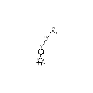 CCN(CC)CCNCCCOc1ccc(B2OC(C)(C)C(C)(C)O2)cc1